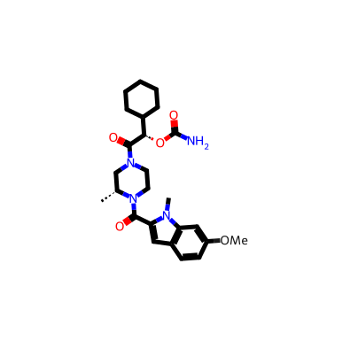 COc1ccc2cc(C(=O)N3CCN(C(=O)[C@@H](OC(N)=O)C4CCCCC4)C[C@H]3C)n(C)c2c1